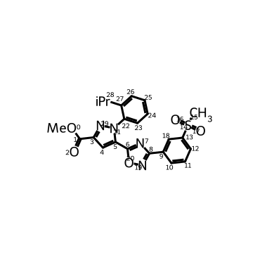 COC(=O)c1cc(-c2nc(-c3cccc(S(C)(=O)=O)c3)no2)n(-c2ccccc2C(C)C)n1